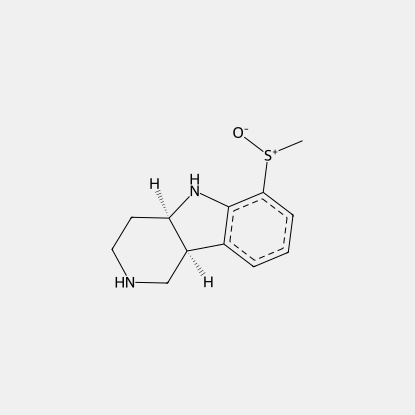 C[S+]([O-])c1cccc2c1N[C@@H]1CCNC[C@H]21